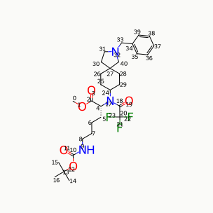 COC(=O)[C@@H](CCCCNC(=O)OC(C)(C)C)N(C(=O)C(F)(F)F)C1CCC2(CC1)CCN(Cc1ccccc1)C2